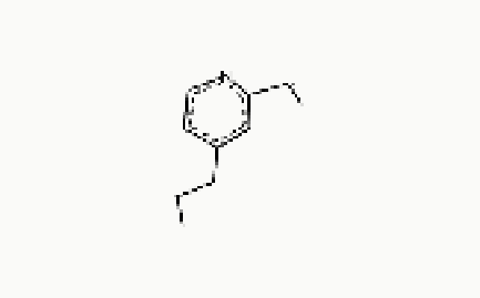 C[CH]c1cc(CCC)ccn1